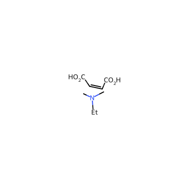 CCN(C)C.O=C(O)/C=C\C(=O)O